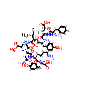 CC[C@H](C)[C@H](NC(=O)[C@H](Cc1ccc(O)cc1)NC(=O)[C@H](CCC(=O)O)NC(=O)[C@@H](N)Cc1ccccc1)C(=O)N[C@@H](CCC(=O)O)C(=O)N[C@@H](CC(N)=O)C(=O)N[C@@H](CCCCN)C(=O)N[C@@H](Cc1ccc(O)cc1)C(=O)O